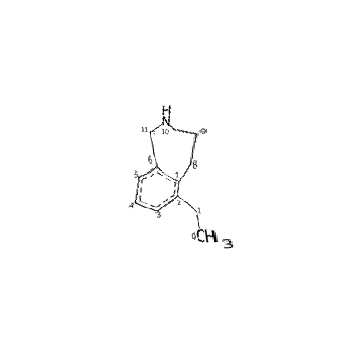 CCc1cccc2c1CCN[C]2